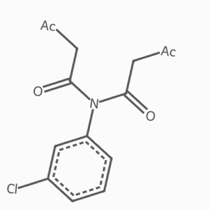 CC(=O)CC(=O)N(C(=O)CC(C)=O)c1cccc(Cl)c1